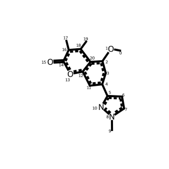 COc1cc(-c2ccn(C)n2)cc2oc(=O)c(C)c(C)c12